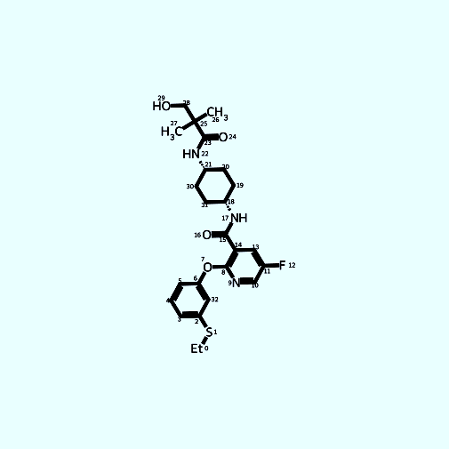 CCSc1cccc(Oc2ncc(F)cc2C(=O)N[C@H]2CC[C@@H](NC(=O)C(C)(C)CO)CC2)c1